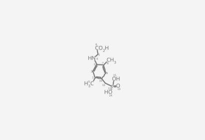 Cc1cc(NCC(=O)O)c(C)cc1CP(=O)(O)O